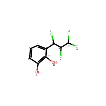 Oc1cccc(C(Cl)C(Cl)C(Cl)Cl)c1O